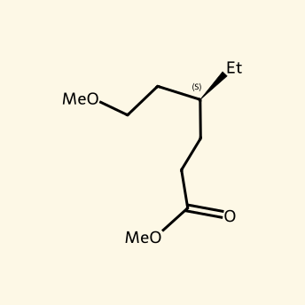 CC[C@H](CCOC)CCC(=O)OC